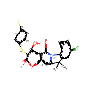 CC1(C)c2cc(Cl)ccc2-n2c1cc1oc(=O)c(Sc3ccc(F)cc3)c(O)c1c2=O